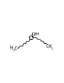 CCCCCCCCc1ccc(O)c(CCCCCCCC)c1